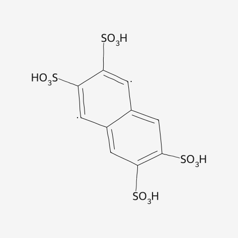 O=S(=O)(O)c1[c]c2cc(S(=O)(=O)O)c(S(=O)(=O)O)cc2[c]c1S(=O)(=O)O